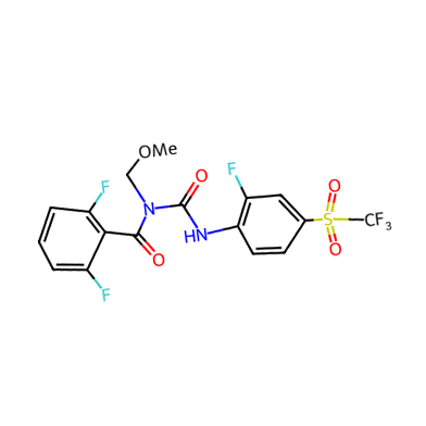 COCN(C(=O)Nc1ccc(S(=O)(=O)C(F)(F)F)cc1F)C(=O)c1c(F)cccc1F